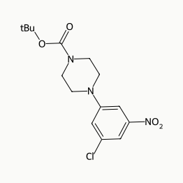 CC(C)(C)OC(=O)N1CCN(c2cc(Cl)cc([N+](=O)[O-])c2)CC1